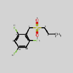 CCCS(=O)(=O)Cc1c(F)cc(F)cc1F